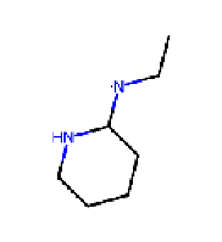 CC[N]C1CCCCN1